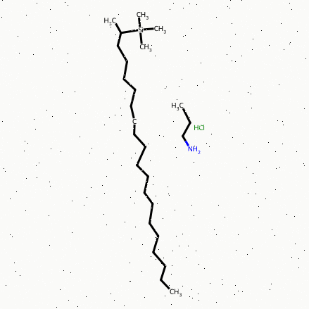 CCCCCCCCCCCCCCCCCCC(C)[Si](C)(C)C.CCCN.Cl